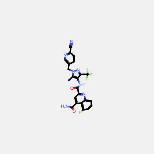 Cc1c(NC(=O)c2cc(C(N)=O)c3c(F)cccc3n2)c(C(F)(F)F)nn1Cc1ccc(C#N)nc1